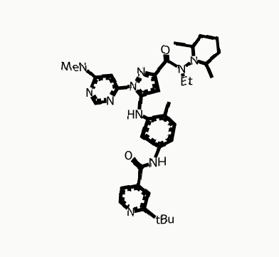 CCN(C(=O)c1cc(Nc2cc(NC(=O)c3ccnc(C(C)(C)C)c3)ccc2C)n(-c2cc(NC)ncn2)n1)N1C(C)CCCC1C